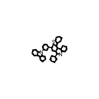 c1ccc(-c2nc3ccccc3c3c2cc(-c2cccc(-n4c5ccccc5c5ccccc54)c2)c2sc4ccccc4c23)cc1